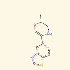 CC1CNC(c2ccc3scnc3c2)=CO1